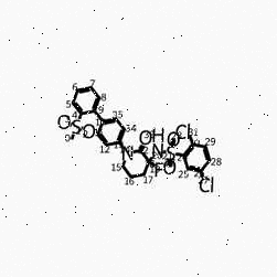 CS(=O)(=O)c1ccccc1-c1ccc(N2CCCC(F)(NS(=O)(=O)c3cc(Cl)ccc3Cl)C2=O)cc1